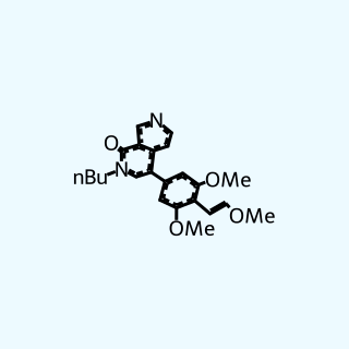 CCCCn1cc(-c2cc(OC)c(C=COC)c(OC)c2)c2ccncc2c1=O